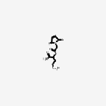 NC(=O)C(CCC(=O)O)NC(=O)CN1C(=O)C=CC1=O